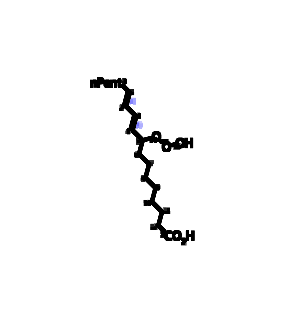 CCCCC/C=C/C=C/C(CCCCCCCC(=O)O)OOO